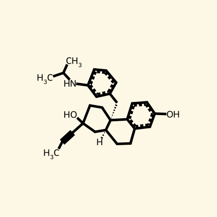 CC#CC1(O)CC[C@@]2(Cc3cccc(NC(C)C)c3)c3ccc(O)cc3CC[C@H]2C1